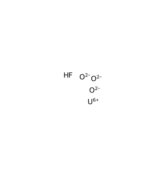 F.[O-2].[O-2].[O-2].[U+6]